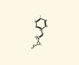 FON=Cc1ccccc1